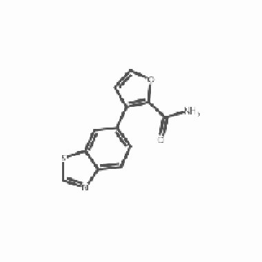 NC(=O)c1occc1-c1ccc2ncsc2c1